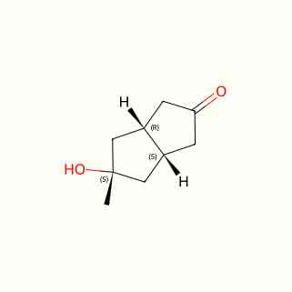 C[C@]1(O)C[C@H]2CC(=O)C[C@H]2C1